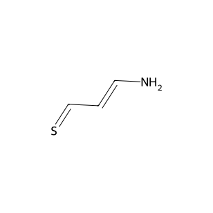 NC=CC=S